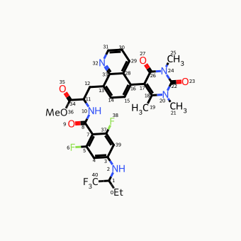 CCC(Nc1cc(F)c(C(=O)NC(Cc2ccc(-c3c(C)n(C)c(=O)n(C)c3=O)c3cccnc23)C(=O)OC)c(F)c1)C(F)(F)F